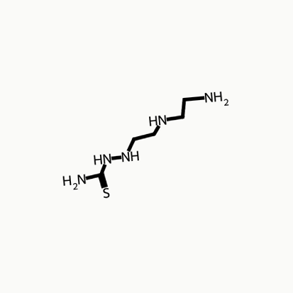 NCCNCCNNC(N)=S